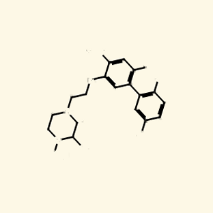 COc1cc(Cl)c(-c2cc(Cl)ccc2Cl)cc1NCCN1CCN(C(=O)O)C(C(C)(C)C)C1